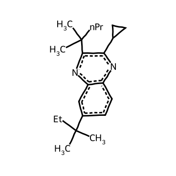 CCCC(C)(C)c1nc2cc(C(C)(C)CC)ccc2nc1C1CC1